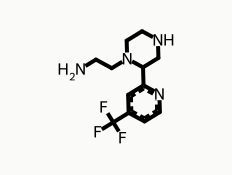 NCCN1CCNCC1c1cc(C(F)(F)F)ccn1